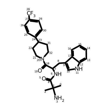 CC(C)(N)C(=O)NC(Cc1c[nH]c2ccccc12)C(=O)N1CCC(c2ccc(C(F)(F)F)cc2)CC1